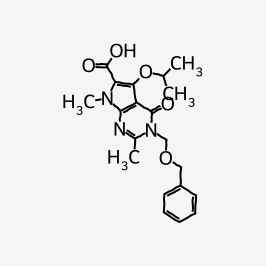 Cc1nc2c(c(OC(C)C)c(C(=O)O)n2C)c(=O)n1COCc1ccccc1